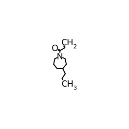 C=CC(=O)N1CCCC(CCC)CC1